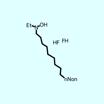 CCCCCCCCCCCCCCCCCCN(O)CC.F.F